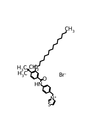 CCCCCCCCCCCCCCOc1cc(C(=O)Nc2ccc(C[n+]3ccsc3)cc2)ccc1C(C)(C)C.[Br-]